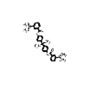 CN(C)c1cccc(C(=O)Oc2ccc(C(c3ccc(OC(=O)c4cccc(N(C)C)c4)cc3)(C(F)(F)F)C(F)(F)F)cc2)c1